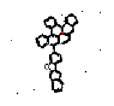 c1ccc(-c2c3ccccc3c(-c3ccc4c(c3)oc3cc5ccccc5cc34)c3ccccc23)c(-c2cccc3ccccc23)c1